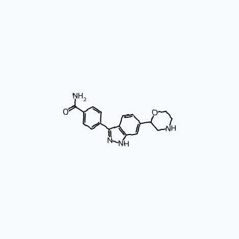 NC(=O)c1ccc(-c2n[nH]c3cc(C4CNCCO4)ccc23)cc1